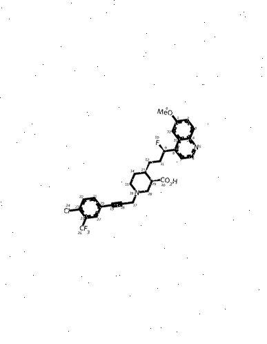 COc1ccc2nccc([C@H](F)CC[C@@H]3CCN(CC#Cc4ccc(Cl)c(C(F)(F)F)c4)C[C@@H]3C(=O)O)c2c1